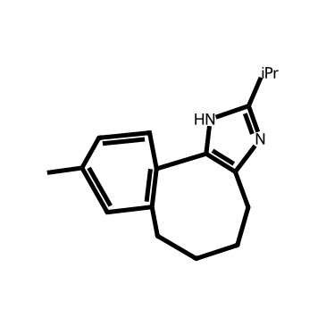 Cc1ccc2c(c1)CCCCc1nc(C(C)C)[nH]c1-2